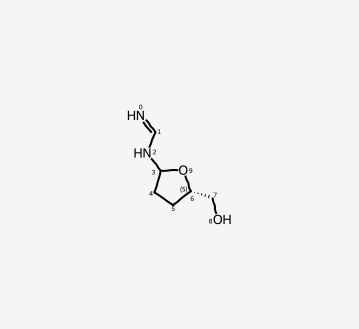 N=CNC1CC[C@@H](CO)O1